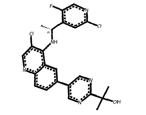 C[C@@H](Nc1c(Cl)cnc2ccc(-c3cnc(C(C)(C)O)nc3)cc12)c1cc(Cl)ncc1F